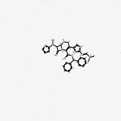 CC(=O)N(c1cccs1)C1C(=O)N2C(C(=O)OC(c3ccccc3)c3ccccc3)=C(c3cnc(N=CN(C)C)s3)CSC12